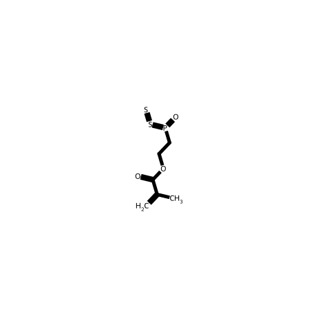 C=C(C)C(=O)OCCP(=O)=S=S